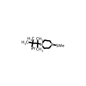 CSB1CCN(C(C)(C)C(C)(C)C(C)C)CC1